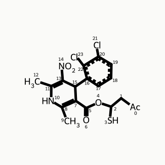 CC(=O)CC(S)OC(=O)C1=C(C)NC(C)=C([N+](=O)[O-])C1c1cccc(Cl)c1Cl